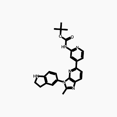 Cc1nc2ccc(-c3ccnc(NC(=O)OC(C)(C)C)c3)nc2n1-c1ccc2c(c1)CCN2